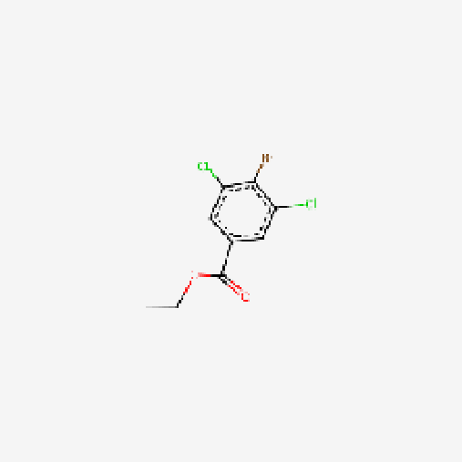 CCOC(=O)c1cc(Cl)c(Br)c(Cl)c1